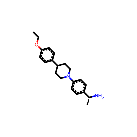 CCOc1ccc(C2CCN(c3ccc([C@H](C)N)cc3)CC2)cc1